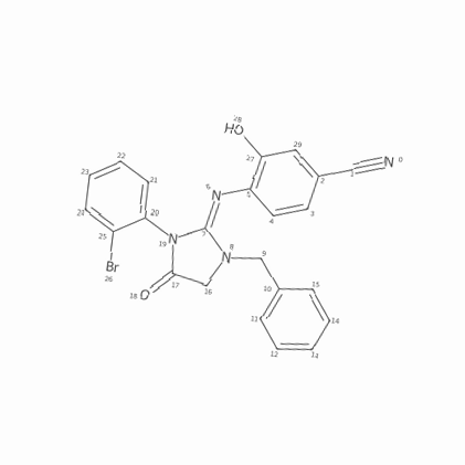 N#Cc1ccc(N=C2N(Cc3ccccc3)CC(=O)N2c2ccccc2Br)c(O)c1